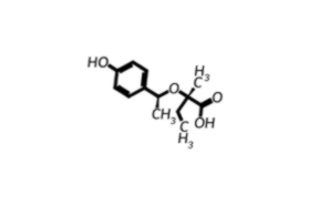 CC[C@](C)(O[C@@H](C)c1ccc(O)cc1)C(=O)O